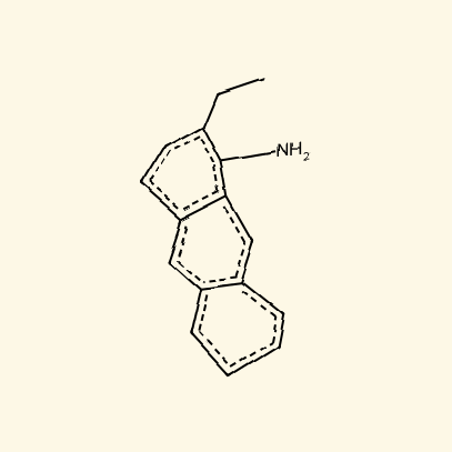 CCc1ccc2cc3ccccc3cc2c1N